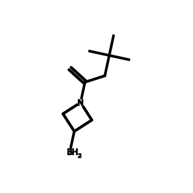 BC1CN(C(=C)CC(C)(C)C)C1